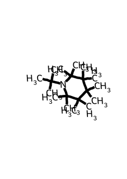 CC(C)(C)N1C(C)(C)C(C)(C)C(C)(C)C(C)(C)C1(C)C